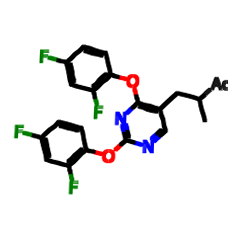 CC(=O)C(C)Cc1cnc(Oc2ccc(F)cc2F)nc1Oc1ccc(F)cc1F